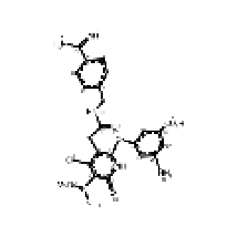 CNN(C)c1c(Cl)c(CC(=O)NCc2ccc(C(=N)N)cc2)c(Oc2cc(N)cc(C(=O)O)c2)[nH]c1=O